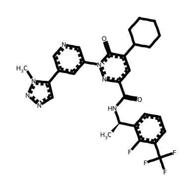 C[C@@H](NC(=O)c1cc(C2CCCCC2)c(=O)n(-c2cncc(-c3cnnn3C)c2)n1)c1cccc(C(F)(F)F)c1F